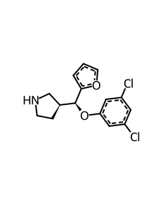 Clc1cc(Cl)cc(O[C@H](c2ccco2)[C@H]2CCNC2)c1